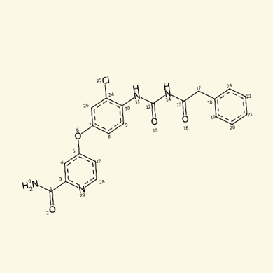 NC(=O)c1cc(Oc2ccc(NC(=O)NC(=O)Cc3ccccc3)c(Cl)c2)ccn1